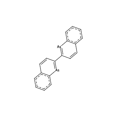 C1=Cc2ccccc2[As]=C1C1=[As]c2ccccc2C=C1